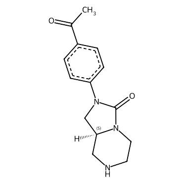 CC(=O)c1ccc(N2C[C@@H]3CNCCN3C2=O)cc1